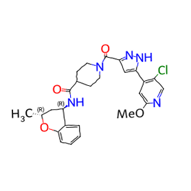 COc1cc(-c2cc(C(=O)N3CCC(C(=O)N[C@@H]4C[C@@H](C)Oc5ccccc54)CC3)n[nH]2)c(Cl)cn1